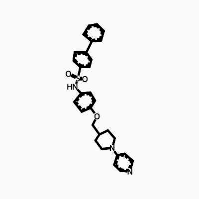 O=S(=O)(Nc1ccc(OCC2CCN(c3ccncc3)CC2)cc1)c1ccc(-c2ccccc2)cc1